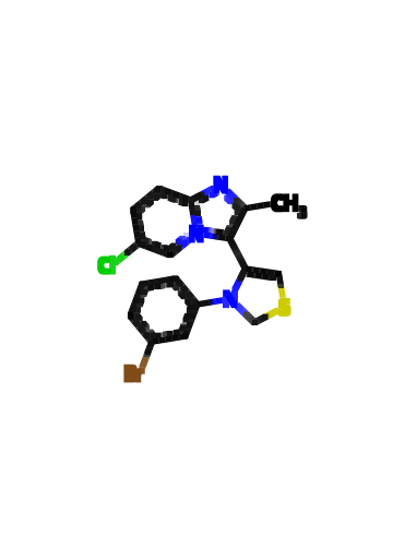 Cc1nc2ccc(Cl)cn2c1C1=CSCN1c1cccc(Br)c1